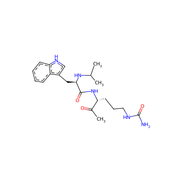 CC(=O)[C@@H](CCCNC(N)=O)NC(=O)[C@@H](Cc1c[nH]c2ccccc12)NC(C)C